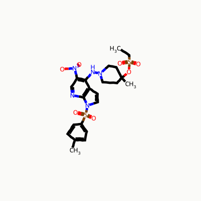 CCS(=O)(=O)OC1(C)CCN(Nc2c([N+](=O)[O-])cnc3c2ccn3S(=O)(=O)c2ccc(C)cc2)CC1